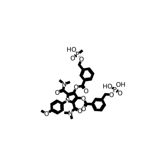 COc1ccc(-n2c(C(=O)N(C)C)c(OC(=O)c3cccc(COP(C)(=O)O)c3)c(OC(=O)c3cccc(COP(=O)(O)O)c3)c2C(=O)N(C)C)cc1